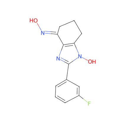 O/N=C1\CCCc2c1nc(-c1cccc(F)c1)n2O